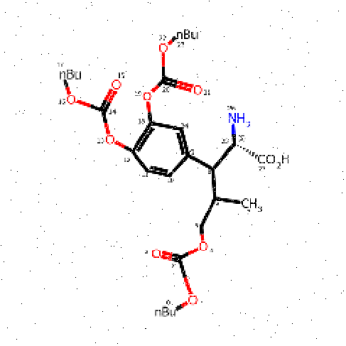 CCCCOC(=O)OCC(C)C(c1ccc(OC(=O)OCCCC)c(OC(=O)OCCCC)c1)[C@H](N)C(=O)O